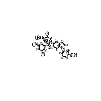 CC(C)(C)OC(=O)CN(c1ccc2c(ccn2-c2cccc(C#N)n2)c1)S(=O)(=O)c1cc(Cl)cc(Cl)c1